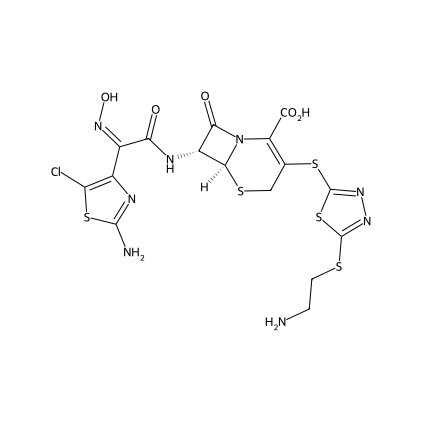 NCCSc1nnc(SC2=C(C(=O)O)N3C(=O)[C@@H](NC(=O)/C(=N\O)c4nc(N)sc4Cl)[C@@H]3SC2)s1